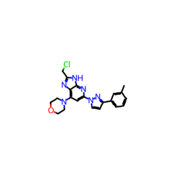 Cc1cccc(-c2ccn(-c3cc(N4CCOCC4)c4nc(CCl)[nH]c4n3)n2)c1